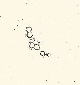 Cn1cc(-c2cc(O)c3c(Nc4cnc5ccccc5c4)ncnc3c2)cn1